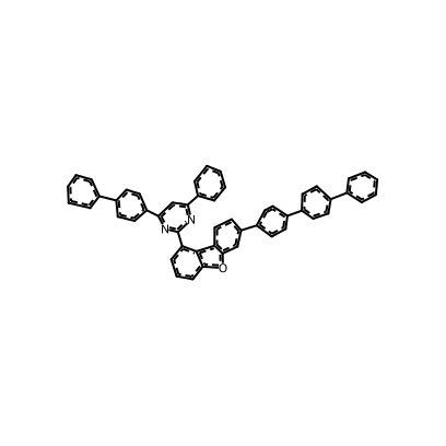 c1ccc(-c2ccc(-c3ccc(-c4ccc5c(c4)oc4cccc(-c6nc(-c7ccccc7)cc(-c7ccc(-c8ccccc8)cc7)n6)c45)cc3)cc2)cc1